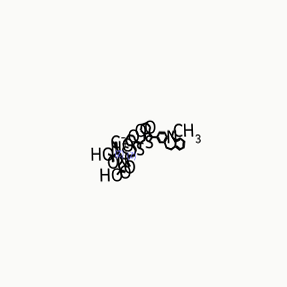 [C-]#[N+]/C(C(=O)O)=c1\s/c(=C\c2sc(-c3sc(-c4ccc5c(c4)CCc4ccccc4N5CC)c4c3OCCO4)c3c2OCCO3)c(=O)n1CC(=O)O